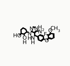 COc1cccc(Oc2ccc(C(=N)c3c(N)ncnc3NC3CCCC(O)C3O)cc2)c1F